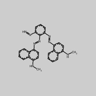 CNc1ccc(N=Nc2cccc(N=N)c2N=Nc2ccc(NC)c3ccccc23)c2ccccc12